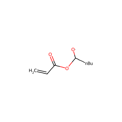 C=CC(=O)OC([O])CCCC